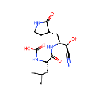 CC(C)C[C@H](NC(=O)O)C(=O)N[C@@H](C[C@@H]1CCNC1=O)C(O)C#N